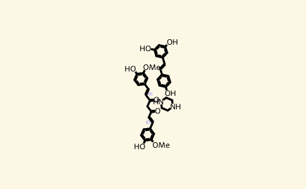 C1CNCCN1.COc1cc(/C=C/C(=O)CC(=O)/C=C/c2ccc(O)c(OC)c2)ccc1O.Oc1ccc(C=Cc2cc(O)cc(O)c2)cc1